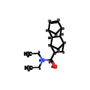 CCN(CC)C(=O)C1CC2CC1C1C3C=CC(C3)C21